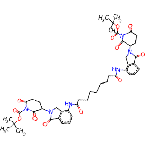 CC(C)(C)OC(=O)N1C(=O)CCC(N2Cc3c(NC(=O)CCCCCCCC(=O)Nc4cccc5c4CN(C4CCC(=O)N(C(=O)OC(C)(C)C)C4=O)C5=O)cccc3C2=O)C1=O